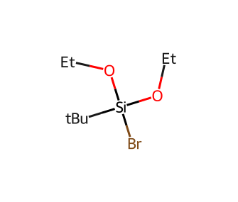 CCO[Si](Br)(OCC)C(C)(C)C